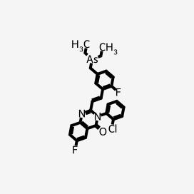 CC[As](CC)Cc1ccc(F)c(C=Cc2nc3ccc(F)cc3c(=O)n2-c2ccccc2Cl)c1